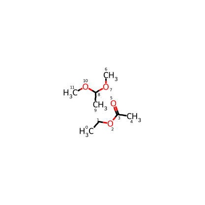 CCOC(C)=O.COC(C)OC